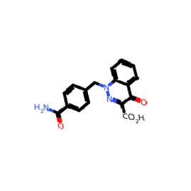 NC(=O)c1ccc(Cn2nc(C(=O)O)c(=O)c3ccccc32)cc1